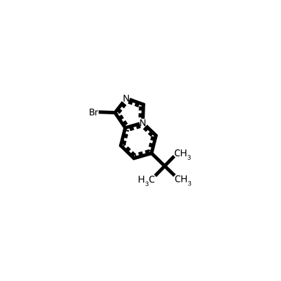 CC(C)(C)c1ccc2c(Br)ncn2c1